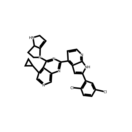 Clc1ccc(Cl)c(-c2cc3c(-c4nc(N5CCC6NCC=C65)c5c(C6CC6)cncc5n4)ccnc3[nH]2)c1